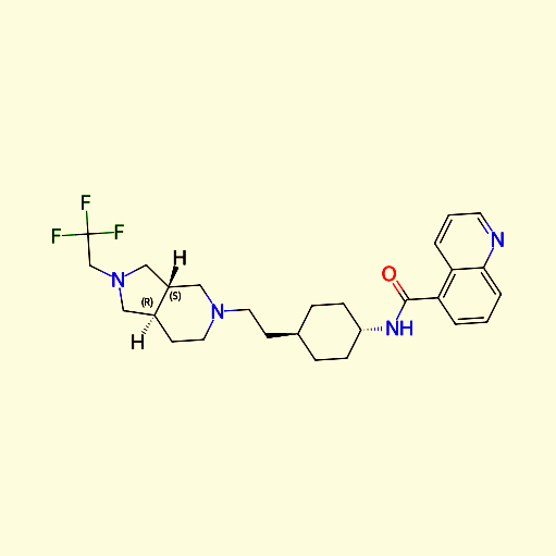 O=C(N[C@H]1CC[C@H](CCN2CC[C@H]3CN(CC(F)(F)F)C[C@@H]3C2)CC1)c1cccc2ncccc12